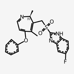 CC1=C(CS(=O)(=O)c2nc3cc(F)ccc3[nH]2)[C@H](C)N=CC=C1Oc1ccccc1